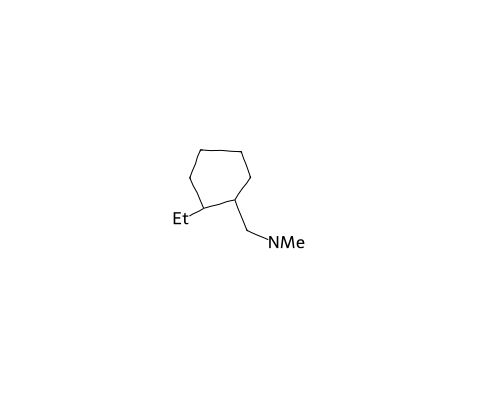 CCC1CCCCC1CNC